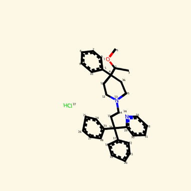 COC(C)C1(c2ccccc2)CCN(CCC(c2ccccc2)(c2ccccc2)c2ccccn2)CC1.Cl